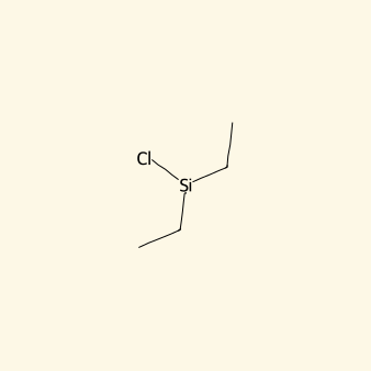 CC[Si](Cl)CC